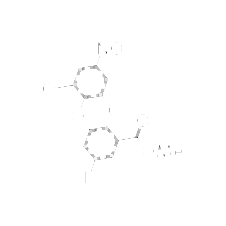 COC(=O)c1cc(F)cc(Oc2c(Cl)cc([N+](=O)[O-])cc2Cl)c1